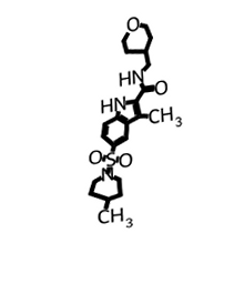 Cc1c(C(=O)NCC2CCOCC2)[nH]c2ccc(S(=O)(=O)N3CCC(C)CC3)cc12